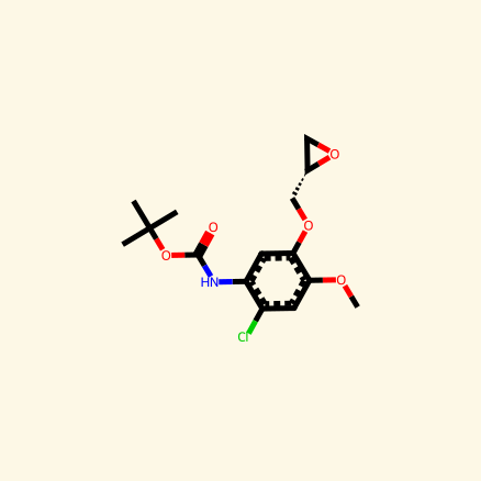 COc1cc(Cl)c(NC(=O)OC(C)(C)C)cc1OC[C@@H]1CO1